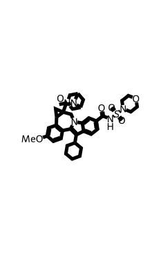 COc1ccc2c(c1)C1CC1(C(=O)N1C3CC1CN(C)C3)Cn1c-2c(C2CCCCC2)c2ccc(C(=O)NS(=O)(=O)N3CCOCC3)cc21